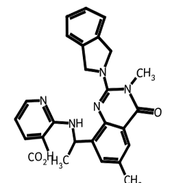 Cc1cc(C(C)Nc2ncccc2C(=O)O)c2nc(N3Cc4ccccc4C3)n(C)c(=O)c2c1